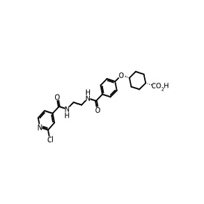 O=C(NCCNC(=O)c1ccnc(Cl)c1)c1ccc(O[C@H]2CC[C@@H](C(=O)O)CC2)cc1